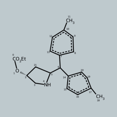 CCOC(=O)O[C@H]1CNC(C(c2ccc(C)cc2)c2ccc(C)cc2)C1